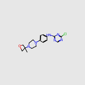 CC1(N2CCN(c3ccc(Nc4ncnc(Cl)n4)cc3)CC2)COC1